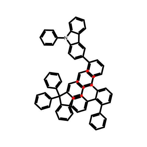 c1ccc(-c2ccccc2-c2c(-c3ccccc3)cccc2N(c2cccc(-c3ccc4c(c3)c3ccccc3n4-c3ccccc3)c2)c2ccc3c(c2)-c2ccccc2C3(c2ccccc2)c2ccccc2)cc1